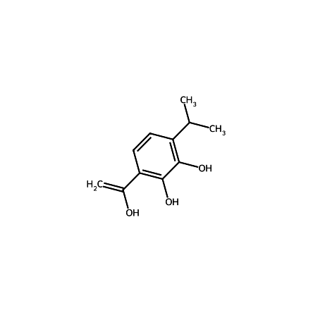 C=C(O)c1ccc(C(C)C)c(O)c1O